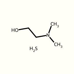 CN(C)CCO.S